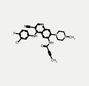 CC#CC(=O)Nc1cc2c(Nc3ccc(F)c(Cl)c3)c(C#N)cnc2cc1N1CCN(C)CC1